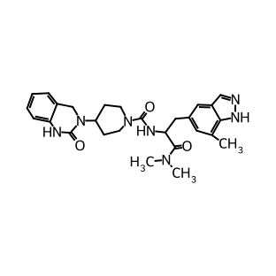 Cc1cc(CC(NC(=O)N2CCC(N3Cc4ccccc4NC3=O)CC2)C(=O)N(C)C)cc2cn[nH]c12